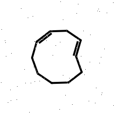 [C]1=C\C/C=C/CCCCC/1